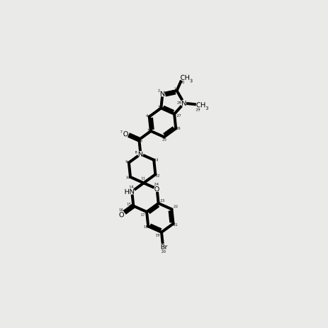 Cc1nc2cc(C(=O)N3CCC4(CC3)NC(=O)c3cc(Br)ccc3O4)ccc2n1C